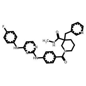 CNC(=O)C1(Cc2cccnc2)CCCN(C(=O)c2ccc(Nc3nccc(Nc4ccc(F)cc4)n3)cc2)C1